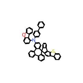 c1ccc(-c2ccc(N(c3ccc4c(c3)-c3ccccc3-c3ccccc3C43c4ccccc4-c4c3ccc3c4sc4ccccc43)c3cccc4oc5ccccc5c34)cc2)cc1